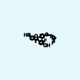 CC1=C(c2ccc(O)c(F)c2)C(c2ccc(OCCN3CC[C@@H](CF)C3)cc2)Oc2cc(O)ccc21